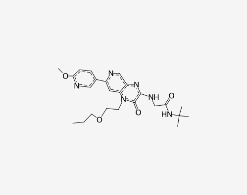 CCCOCCn1c(=O)c(NCC(=O)NC(C)(C)C)nc2cnc(-c3ccc(OC)nc3)cc21